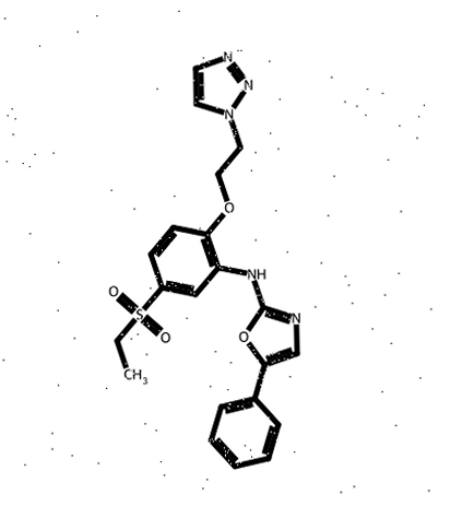 CCS(=O)(=O)c1ccc(OCCn2ccnn2)c(Nc2ncc(-c3ccccc3)o2)c1